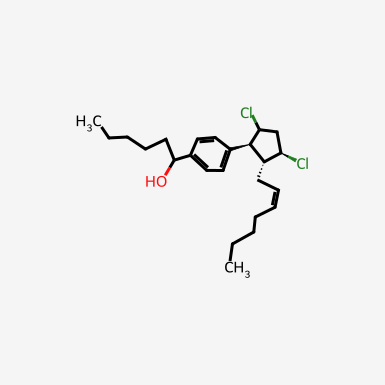 CCCC/C=C\C[C@H]1[C@H](Cl)CC(Cl)[C@@H]1c1ccc(C(O)CCCCC)cc1